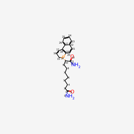 NC(=O)CCCCCCCC(C(N)=O)P1CC=Cc2c1ccc1ccccc21